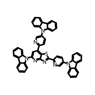 c1ccc2c(c1)c1ccccc1n2-c1ccc(-c2nc3nc(-n4c5ccccc5c5ccccc54)cc(-c4ccc(-n5c6ccccc6c6ccccc65)cn4)c3s2)nc1